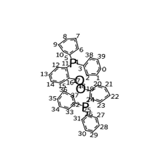 c1ccc(P(c2ccccc2)c2ccccc2OOc2ccccc2P(c2ccccc2)c2ccccc2)cc1